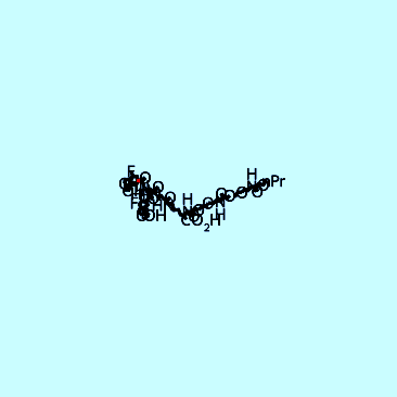 CCCOCC(=O)NCCOCCOCC(=O)NCCOCCOCC(=O)NC(CCCCNC(=O)CCNC(=O)[C@H](CNC(=O)c1cc(F)c2c(c1)B(O)OC2)NC(=O)c1cc(F)c2c(c1)B(O)OC2)C(=O)O